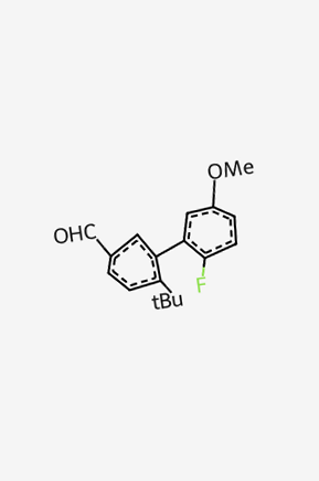 COc1ccc(F)c(-c2cc(C=O)ccc2C(C)(C)C)c1